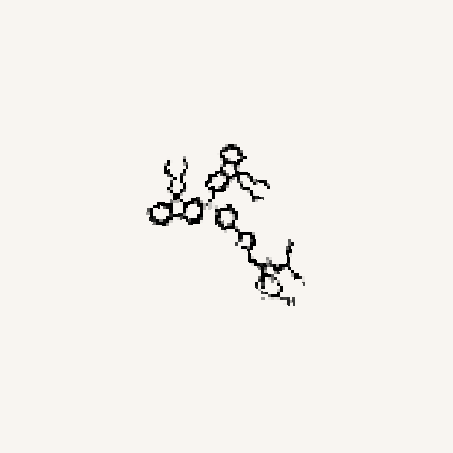 CCCCC1(CCCC)c2ccccc2-c2ccc(N(c3ccc(-c4ccc(/C=c5\sc(=C(C#N)C#N)n(CC(=O)O)c5=O)s4)cc3)c3ccc4c(c3)C(CCCC)(CCCC)c3ccccc3-4)cc21